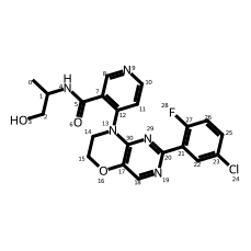 CC(CO)NC(=O)c1cnccc1N1CCOc2cnc(-c3cc(Cl)ccc3F)nc21